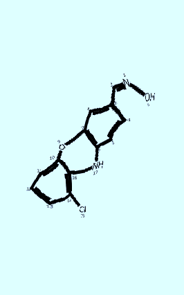 O/N=C\c1ccc2c(c1)Oc1cccc(Cl)c1N2